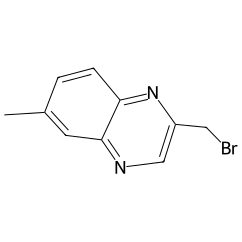 Cc1ccc2nc(CBr)cnc2c1